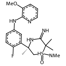 CN[SH]1(=O)C[C@@](C)(c2cc(Nc3ncccc3OC)ccc2F)NC(=N)C1(C)C